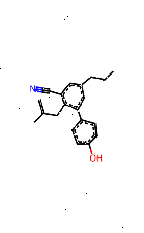 C=C(C)Cc1c(C#N)cc(CCC)cc1-c1ccc(O)cc1